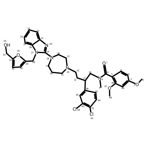 COc1ccc(C(=O)N(C)CC(CCN2CCCN(c3nc4ccccc4n3Cc3ccc(CO)o3)CC2)c2ccc(Cl)c(Cl)c2)c(OC)c1